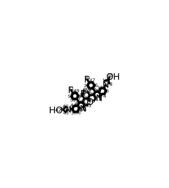 Cc1nc2ccc(N3CC(O)C3)cc2c(-c2ccc(F)cc2)c1C(CF)C(=O)C(CF)c1c(C)nc2ccc(N3CC(O)C3)cc2c1-c1ccc(F)cc1